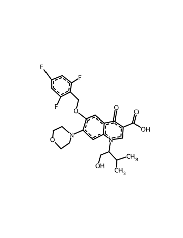 CC(C)C(CO)n1cc(C(=O)O)c(=O)c2cc(OCc3c(F)cc(F)cc3F)c(N3CCOCC3)cc21